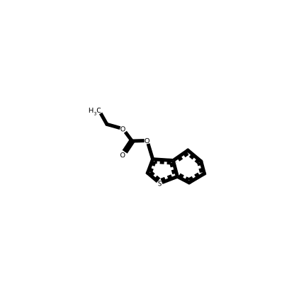 CCOC(=O)Oc1csc2ccccc12